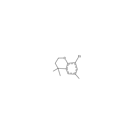 CCc1cc(C)cc2c1OCCC2(C)C